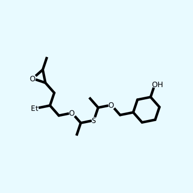 CCC(COC(C)SC(C)OCC1CCCC(O)C1)CC1OC1C